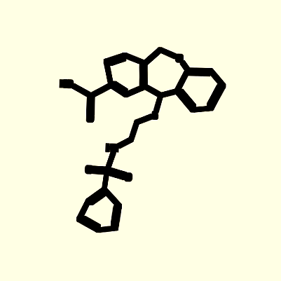 O=C(O)c1ccc2c(c1)C(SCCNS(=O)(=O)c1ccccc1)c1ccccc1OC2